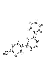 [O]c1ccc(-c2cccc(-c3ccccc3)c2)cc1